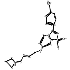 O=S1(=O)N=C(c2ccc(Br)cc2)c2ccc(OCCCCN3CCC3)cc21